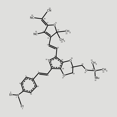 CCN(CC)c1ccc(C=Cc2sc(C=CC3=C(C#N)C(=C(C#N)C#N)OC3(C)C)c3c2OCC(CO[Si](C)(C)C(C)(C)C)O3)cc1